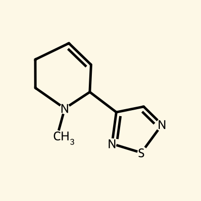 CN1CCC=CC1c1cnsn1